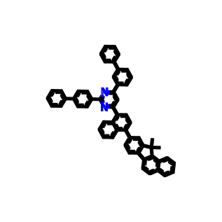 CC1(C)c2cc(-c3ccc(-c4cc(-c5cccc(-c6ccccc6)c5)nc(-c5ccc(-c6ccccc6)cc5)n4)c4ccccc34)ccc2-c2ccc3ccccc3c21